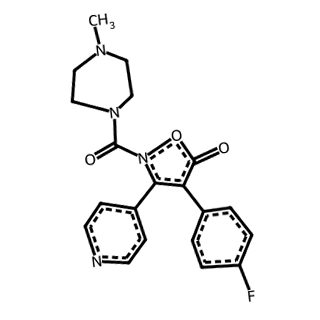 CN1CCN(C(=O)n2oc(=O)c(-c3ccc(F)cc3)c2-c2ccncc2)CC1